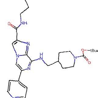 COCCNC(=O)c1cn2cc(-c3ccncc3)nc(NCC3CCN(C(=O)OC(C)(C)C)CC3)c2n1